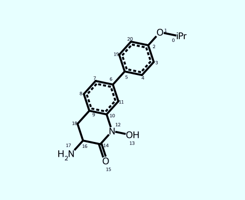 CC(C)Oc1ccc(-c2ccc3c(c2)N(O)C(=O)C(N)C3)cc1